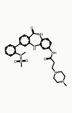 CN1CCN(CCC(=O)Nc2ccc3c(c2)Nc2cc(-c4ccccc4N(C)S(C)(=O)=O)ccc2C(=O)N3)CC1